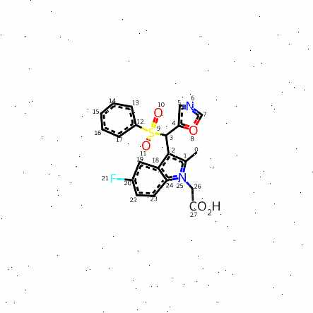 Cc1c(C(c2cnco2)S(=O)(=O)c2ccccc2)c2cc(F)ccc2n1CC(=O)O